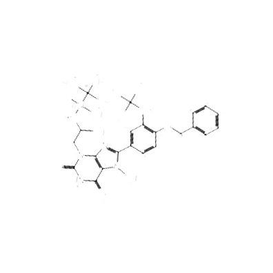 CC(Cn1c(=O)[nH]c(=O)c2c1nc(-c1ccc(OCc3ccccc3)c(OC(F)(F)F)c1)n2C)O[Si](C)(C)C(C)(C)C